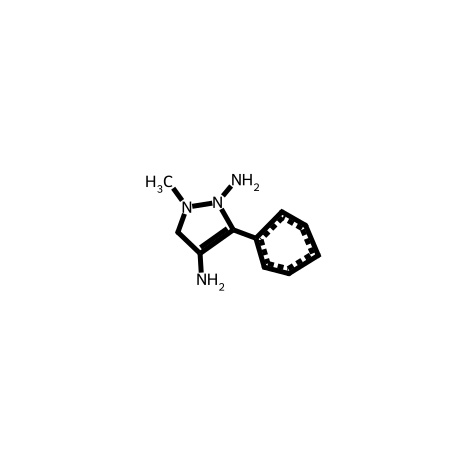 CN1CC(N)=C(c2ccccc2)N1N